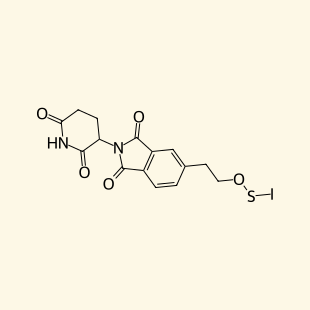 O=C1CCC(N2C(=O)c3ccc(CCOSI)cc3C2=O)C(=O)N1